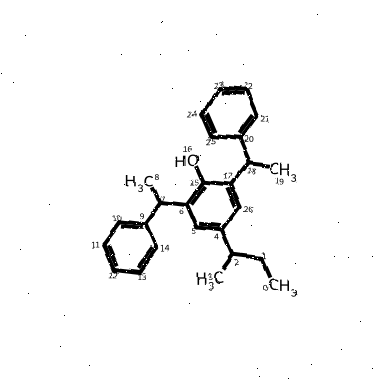 CCC(C)c1cc(C(C)c2ccccc2)c(O)c(C(C)c2ccccc2)c1